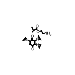 CC(C)C(=O)OCCN.O=C1C=C(N2CC2)C(=O)C(N2CC2)=C1N1CC1